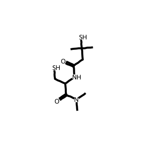 CN(C)C(=O)C(CS)NC(=O)CC(C)(C)S